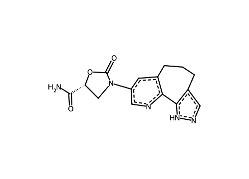 NC(=O)[C@H]1CN(c2cnc3c(c2)CCCc2cn[nH]c2-3)C(=O)O1